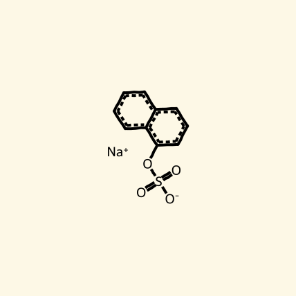 O=S(=O)([O-])Oc1cccc2ccccc12.[Na+]